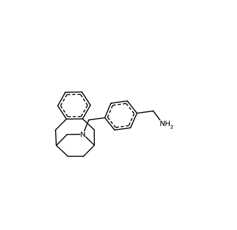 NCc1ccc(CN2CC3CCC2Cc2ccccc2C3)cc1